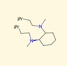 CC(C)CCN(C)C1CCCC[C@H]1N(C)CCC(C)C